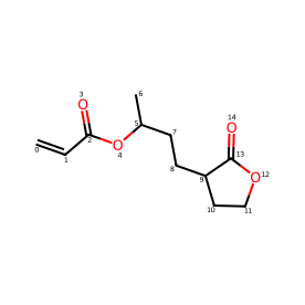 C=CC(=O)OC(C)CCC1CCOC1=O